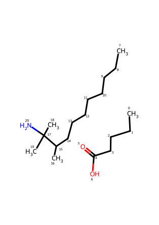 CCCCC(=O)O.CCCCCCCCC(C)C(C)(C)N